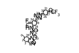 Cc1ccc(C(C)C)c(N2C(=O)CSC2=NC(=O)Nc2ccc(-c3ncn(-c4ccc(OC(F)(F)F)cc4)n3)cc2C(F)F)c1